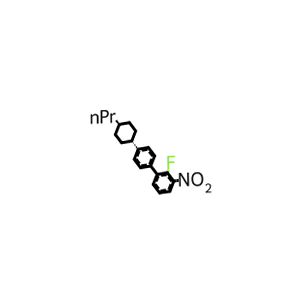 CCC[C@H]1CC[C@H](c2ccc(-c3cccc([N+](=O)[O-])c3F)cc2)CC1